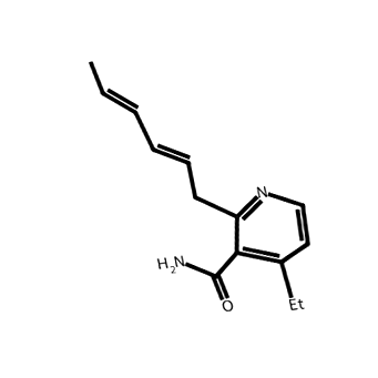 CC=CC=CCc1nccc(CC)c1C(N)=O